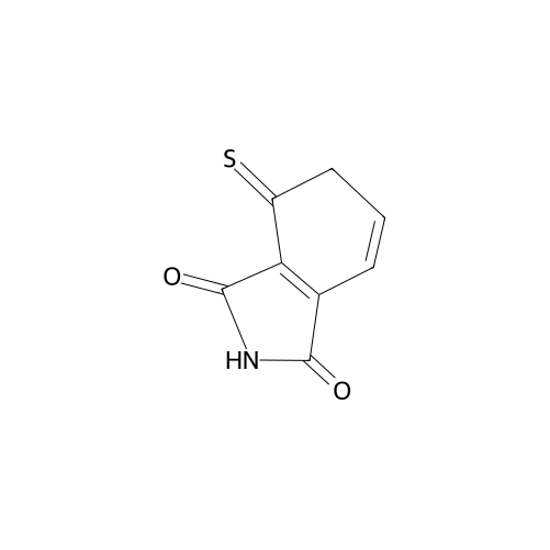 O=C1NC(=O)C2=C1C=CCC2=S